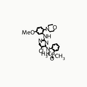 COc1ccc(N2CCOCC2)c(Nc2ncc(Cl)c(Nc3ccccc3P(C)(C)=O)n2)c1